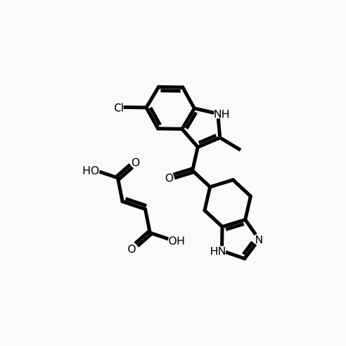 Cc1[nH]c2ccc(Cl)cc2c1C(=O)C1CCc2nc[nH]c2C1.O=C(O)C=CC(=O)O